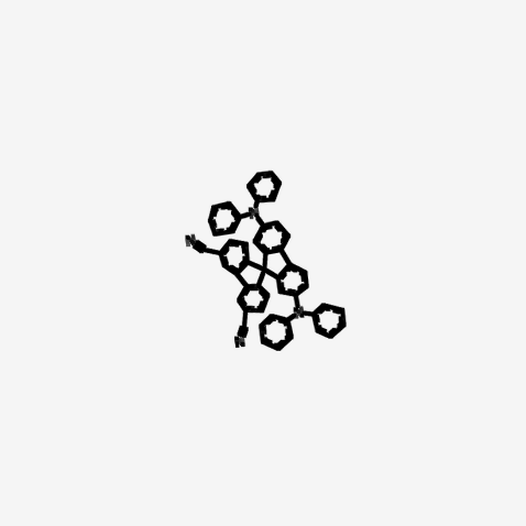 N#Cc1ccc2c(c1)-c1cc(C#N)ccc1C21c2cc(N(c3ccccc3)c3ccccc3)ccc2-c2ccc(N(c3ccccc3)c3ccccc3)cc21